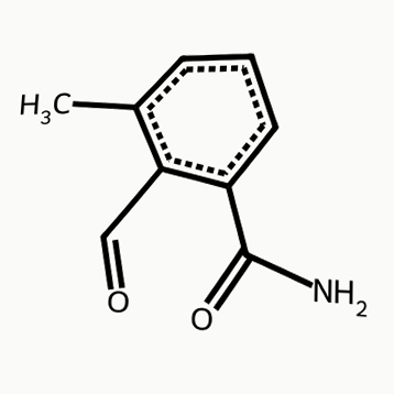 Cc1cccc(C(N)=O)c1C=O